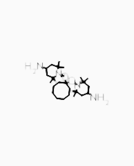 CC1(C)CC(N)CC(C)(C)N1OC1(ON2C(C)(C)CC(N)CC2(C)C)CCCCCCC1